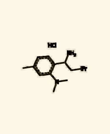 Cc1ccc(C(N)CC(C)C)c(N(C)C)c1.Cl